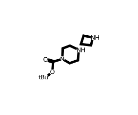 C1CNC1.CC(C)(C)OC(=O)N1CCNCC1